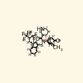 Cn1ccc([C@H]2CCNCC2C(=O)N(Cc2cn(CC(C(F)(F)F)C(F)(F)F)c3ccccc23)C2CC2)cc1=O